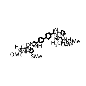 COC(=O)N[C@@H](C)C(=O)N1C[C@@H](SC)C[C@H]1c1ncc(-c2ccc(-c3ccc(-c4cnc([C@@H]5CCCN5C(=O)[C@@H](NC(=O)OC)[C@@H](C)OC)[nH]4)cc3)cc2)[nH]1